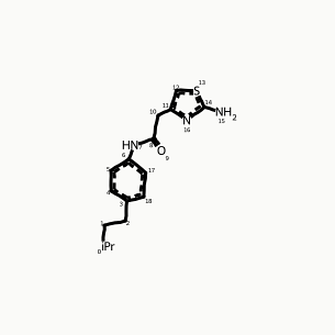 CC(C)CCc1ccc(NC(=O)Cc2csc(N)n2)cc1